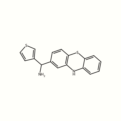 NC(c1ccsc1)c1ccc2c(c1)Nc1ccccc1S2